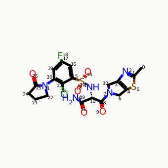 Cc1nc2c(s1)CN(C(=O)[C@@H](NS(=O)(=O)c1cc(F)cc(N3CCCC3=O)c1Cl)C(N)=O)C2